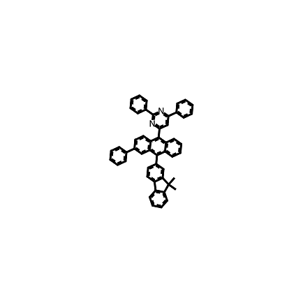 CC1(C)c2ccccc2-c2ccc(-c3c4ccccc4c(-c4cc(-c5ccccc5)nc(-c5ccccc5)n4)c4ccc(-c5ccccc5)cc34)cc21